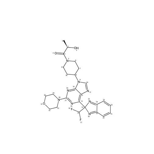 C[C@@H](O)C(=O)N1CCC(n2cnc3c(C4(C(F)F)N=c5ccccc5=N4)nc(N4CCOCC4)nc32)CC1